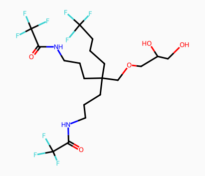 O=C(NCCCC(CCCNC(=O)C(F)(F)F)(CCCC(F)(F)F)COCC(O)CO)C(F)(F)F